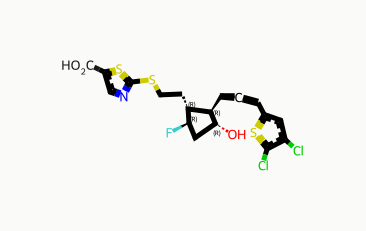 O=C(O)c1cnc(SCC[C@@H]2[C@@H](C=C=Cc3cc(Cl)c(Cl)s3)[C@H](O)C[C@H]2F)s1